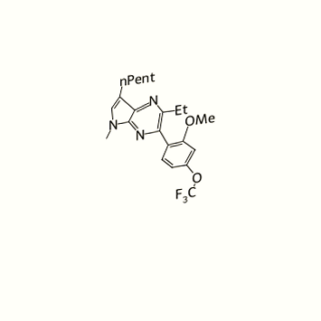 CCCCCc1cn(C)c2nc(-c3ccc(OC(F)(F)F)cc3OC)c(CC)nc12